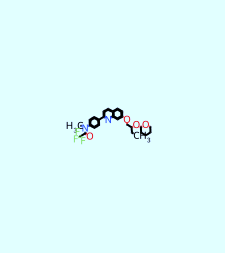 CCC(COc1ccc2ccc(-c3ccc(N(C)C(=O)C(F)(F)F)cc3)nc2c1)OC1CCCCO1